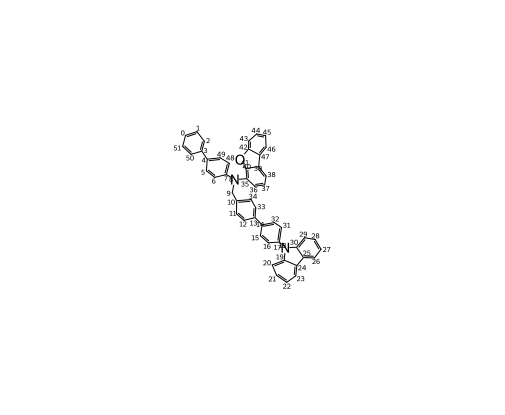 c1ccc(-c2ccc(N(Cc3ccc(-c4ccc(-n5c6ccccc6c6ccccc65)cc4)cc3)c3cccc4c3oc3ccccc34)cc2)cc1